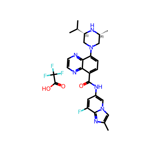 Cc1cn2cc(NC(=O)c3ccc(N4C[C@@H](C)N[C@@H](C(C)C)C4)c4nccnc34)cc(F)c2n1.O=C(O)C(F)(F)F